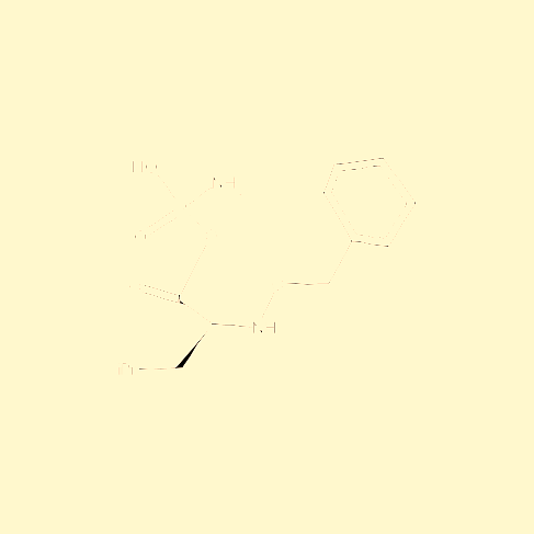 CC(C)C[C@H](NOCc1ccccc1)C(=O)OP(N)(=O)O